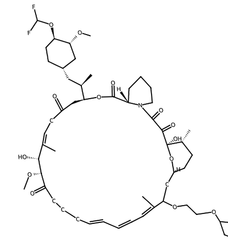 CO[C@@H]1C[C@H](C[C@@H](C)[C@@H]2CC(=O)C/C=C(\C)[C@@H](O)[C@@H](OC)C(=O)CCC/C=C/C=C/C=C(\C)C(OCCOC3COC3)C[C@@H]3CC[C@@H](C)[C@@](O)(O3)C(=O)C(=O)N3CCCC[C@H]3C(=O)O2)CC[C@H]1OC(F)F